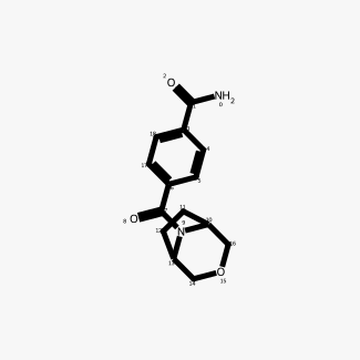 NC(=O)c1ccc(C(=O)N2C3CCC2COC3)cc1